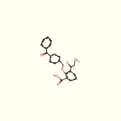 CCC(=O)c1cccc(C(=O)O)c1OCc1ccc(C(=O)c2ccccc2)cc1